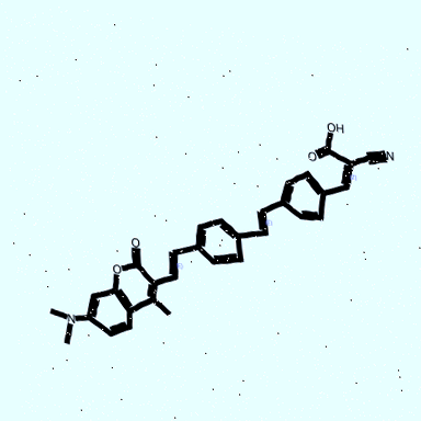 Cc1c(/C=C/c2ccc(/C=C/c3ccc(/C=C(/C#N)C(=O)O)cc3)cc2)c(=O)oc2cc(N(C)C)ccc12